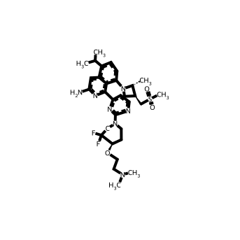 CC(C)c1ccc(N2C[C@H](CS(C)(=O)=O)[C@H]2C)c2c(-c3ccnc(N4CC[C@@H](OCCN(C)C)C(F)(F)C4)n3)nc(N)cc12